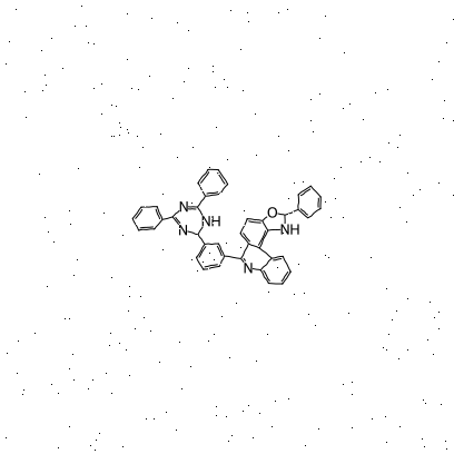 c1ccc(C2=NC(c3cccc(-c4nc5ccccc5c5c6c(ccc45)OC(c4ccccc4)N6)c3)NC(c3ccccc3)=N2)cc1